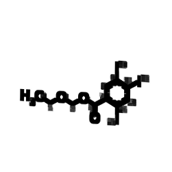 CCOCOC(=O)c1cc(I)c(I)cc1I